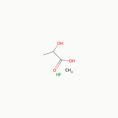 C.CC(O)C(=O)O.F